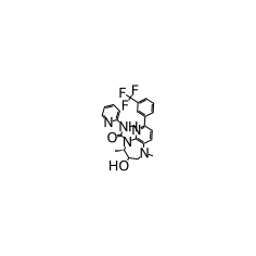 C[C@@H]1[C@H](O)CN(C)c2ccc(-c3cccc(C(F)(F)F)c3)nc2N1C(=O)Nc1ccccn1